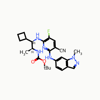 C[C@H](NC(=O)OC(C)(C)C)[C@H](Nc1nc(Nc2ccc3cnn(C)c3c2)c(C#N)cc1F)C1CCC1